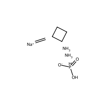 C1CCC1.C=C.N.N.O=[PH]([O-])O.[Na+]